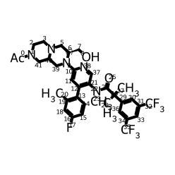 CC(=O)N1CCN2C[C@@H](CO)N(c3cc(-c4ccc(F)cc4C)c(N(C)C(=O)C(C)(C)c4cc(C(F)(F)F)cc(C(F)(F)F)c4)cn3)CC2C1